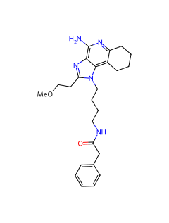 COCCc1nc2c(N)nc3c(c2n1CCCCNC(=O)Cc1ccccc1)CCCC3